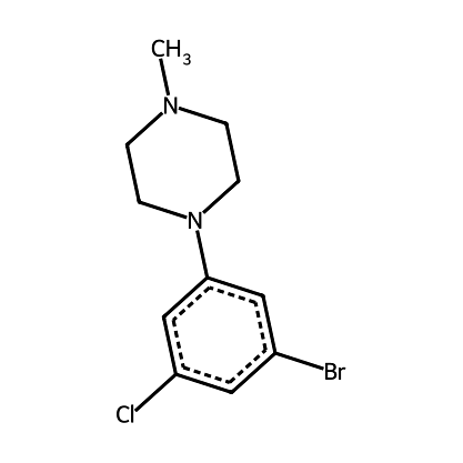 CN1CCN(c2cc(Cl)cc(Br)c2)CC1